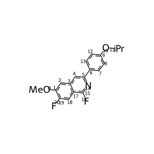 COc1cc2cc(-c3ccc(OC(C)C)cc3)nc(F)c2cc1F